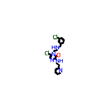 O=c1c(NCCc2ccccn2)ncc(Cl)n1CCNCc1cccc(Cl)c1